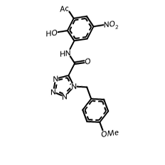 COc1ccc(Cn2nnnc2C(=O)Nc2cc([N+](=O)[O-])cc(C(C)=O)c2O)cc1